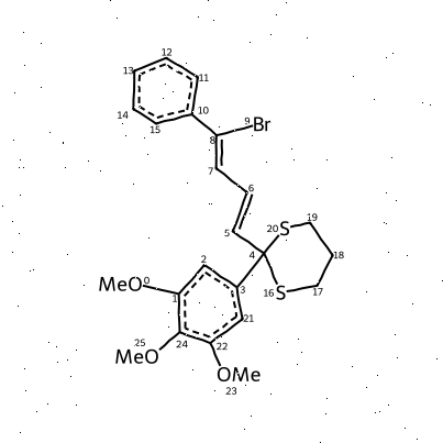 COc1cc(C2(/C=C/C=C(\Br)c3ccccc3)SCCCS2)cc(OC)c1OC